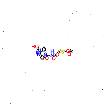 CC(C)(COC(C)(C)C(=O)NCCC(=O)N1Cc2ccccc2-c2c(nnn2C(C)(C)CO)-c2ccccc21)SSCCOC(=O)C(C)(C)C